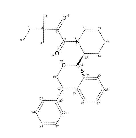 CCC(C)(C)C(=O)C(=O)N1CCCC[C@H]1C(=S)OCC(c1ccccc1)c1ccccc1